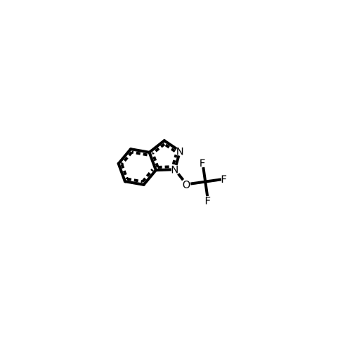 FC(F)(F)On1ncc2ccccc21